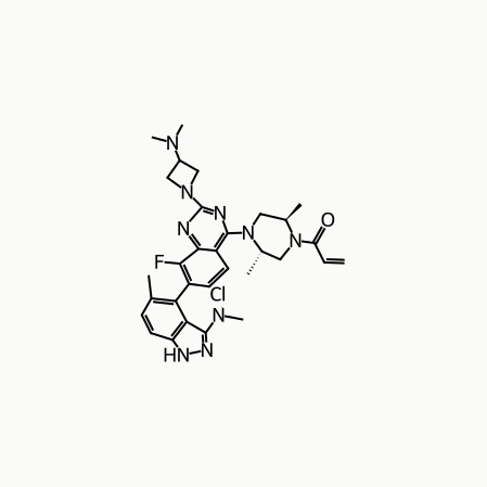 C=CC(=O)N1C[C@H](C)N(c2nc(N3CC(N(C)C)C3)nc3c(F)c(-c4c(C)ccc5[nH]nc(N(C)C)c45)c(Cl)cc23)C[C@H]1C